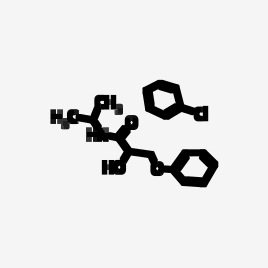 CC(C)NC(=O)C(O)COc1ccccc1.Clc1ccccc1